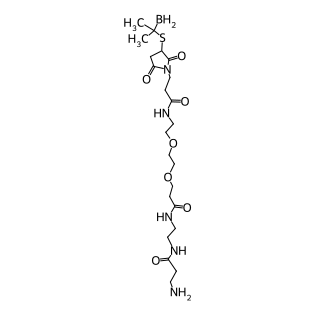 BC(C)(C)SC1CC(=O)N(CCC(=O)NCCOCCOCCC(=O)NCCNC(=O)CCN)C1=O